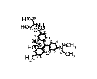 C=c1ccc2c(c1)Oc1cc(N(CC)CC)ccc1C=2c1ccc(S(=O)(=O)NC(CO)CO)cc1S(=O)(=O)O